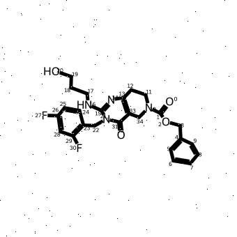 O=C(OCc1ccccc1)N1CCc2nc(NCCCO)n(Cc3ccc(F)cc3F)c(=O)c2C1